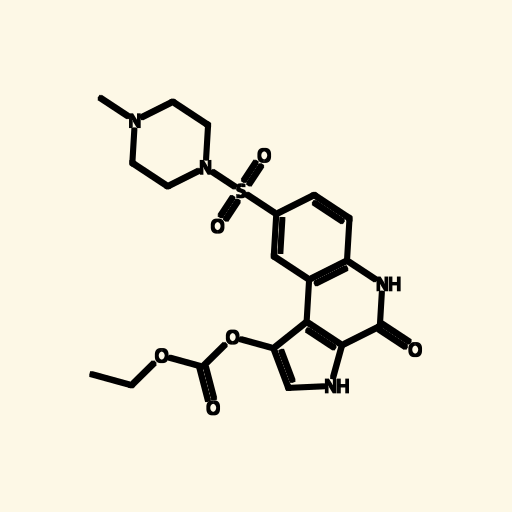 CCOC(=O)Oc1c[nH]c2c(=O)[nH]c3ccc(S(=O)(=O)N4CCN(C)CC4)cc3c12